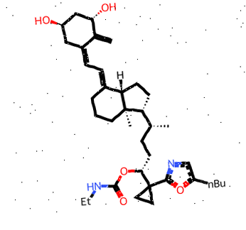 C=C1/C(=C\C=C2/CCC[C@]3(C)[C@@H]([C@H](C)CC[C@@H](OC(=O)NCC)C4(c5ncc(CCCC)o5)CC4)CC[C@@H]23)C[C@@H](O)C[C@@H]1O